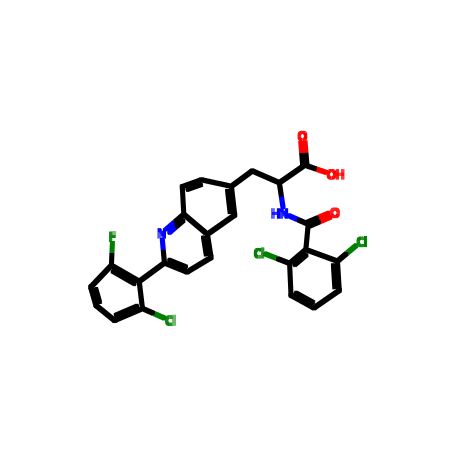 O=C(NC(Cc1ccc2nc(-c3c(F)cccc3Cl)ccc2c1)C(=O)O)c1c(Cl)cccc1Cl